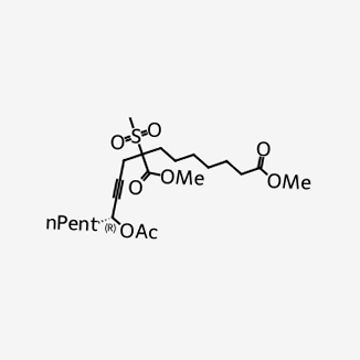 CCCCC[C@H](C#CCC(CCCCCCC(=O)OC)(C(=O)OC)S(C)(=O)=O)OC(C)=O